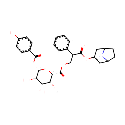 CN1C2CCC1CC(OC(=O)C(COC(=O)[C@H]1O[C@@H](OC(=O)c3ccc(O)cc3)[C@H](O)[C@@H](O)[C@@H]1O)c1ccccc1)C2